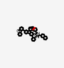 c1ccc(-c2nc(-c3ccc4ccccc4c3)nc(-c3ccccc3-c3ccc4c(c3)-c3ccc(-c5cccc6oc7ccccc7c56)cc3C43C4CC5CC(C4)CC3C5)n2)cc1